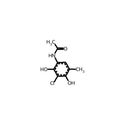 CC(=O)Nc1cc(C)c(O)c(Cl)c1O